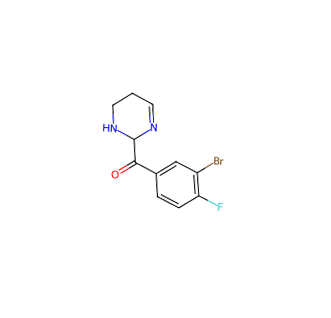 O=C(c1ccc(F)c(Br)c1)C1N=CCCN1